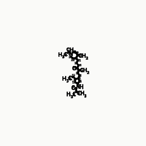 C=C(CCC1CC(NC(=O)C(C)C)CC1CC)C(=O)CCCC1CCN(C(C)C)CCC1=C